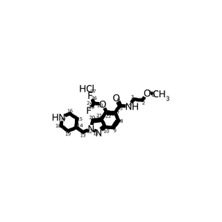 COCCNC(=O)c1ccc2nn(CC3CCNCC3)cc2c1OC(F)F.Cl